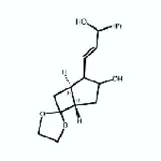 CCCC(O)C=CC1C(O)C[C@H]2[C@H]1CC21OCCO1